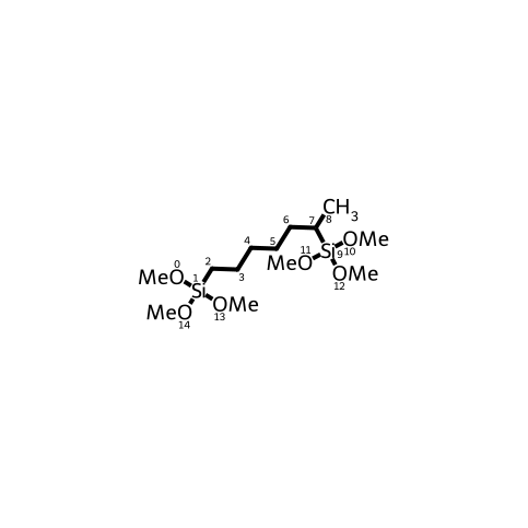 CO[Si](CCCCCC(C)[Si](OC)(OC)OC)(OC)OC